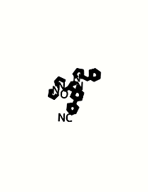 N#Cc1ccc(-c2ccc3nc(N4CCCC4Cc4ccccc4)cc(C(=O)N4CCCC4N4CCCC4)c3c2)cc1